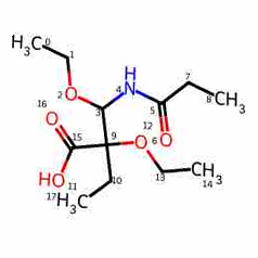 CCOC(NC(=O)CC)C(CC)(OCC)C(=O)O